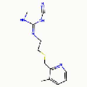 CN/C(=N/CCSCc1ncccc1C)NC#N